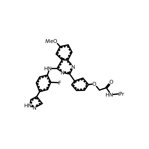 COc1ccc2nc(-c3cccc(OCC(=O)NC(C)C)c3)nc(Nc3ccc(-c4cn[nH]c4)cc3F)c2c1